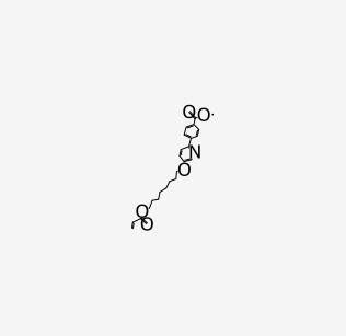 C=CC(=O)OCCCCCCCCOc1ccc(-c2ccc(C([O])=O)cc2)nc1